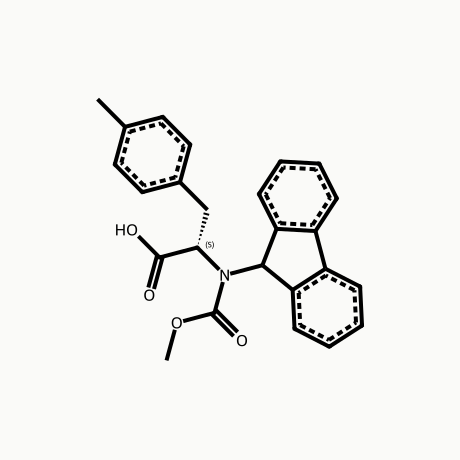 COC(=O)N(C1c2ccccc2-c2ccccc21)[C@@H](Cc1ccc(C)cc1)C(=O)O